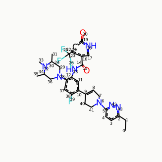 CCc1ccc(N2CC=C(c3cc(NC(=O)c4c[nH]c(=O)cc4C(F)(F)F)c(N4CC(C)N(C)C(C)C4)cc3F)CC2)nn1